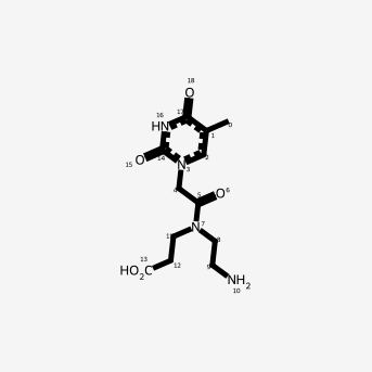 Cc1cn(CC(=O)N(CCN)CCC(=O)O)c(=O)[nH]c1=O